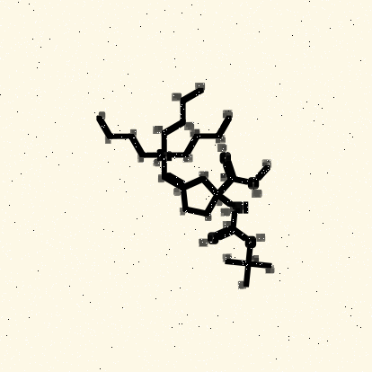 CCC[CH2][Sn]([CH]=C1CCC(NC(=O)OC(C)(C)C)(C(=O)OC)C1)([CH2]CCC)[CH2]CCC